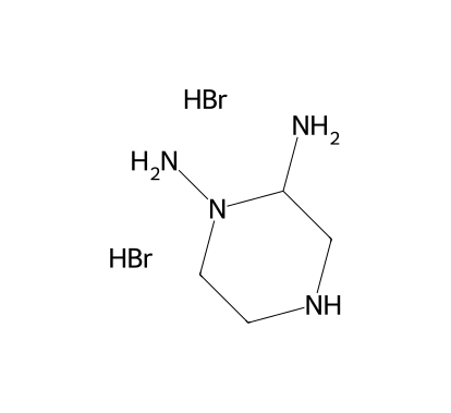 Br.Br.NC1CNCCN1N